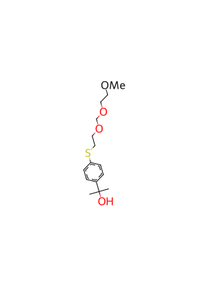 COCCOCOCCSc1ccc(C(C)(C)O)cc1